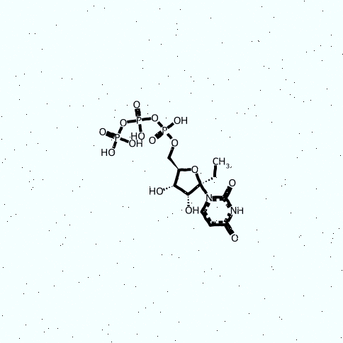 CC[C@@]1(n2ccc(=O)[nH]c2=O)O[C@H](COP(=O)(O)OP(=O)(O)OP(=O)(O)O)[C@@H](O)[C@H]1O